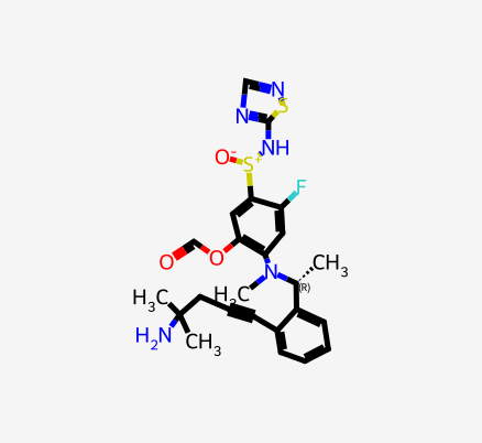 C[C@H](c1ccccc1C#CCC(C)(C)N)N(C)c1cc(F)c([S+]([O-])Nc2ncns2)cc1OC=O